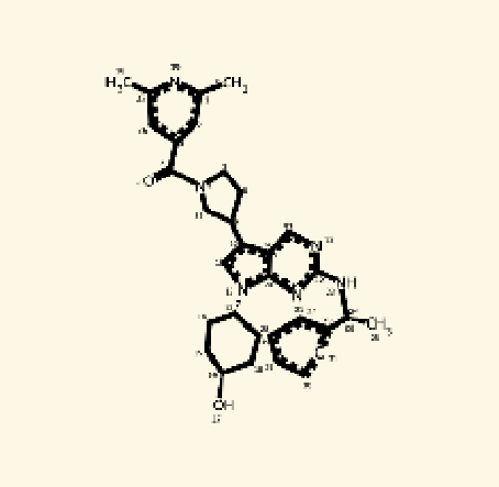 Cc1cc(C(=O)N2CCC(c3cn([C@H]4CC[C@H](O)CC4)c4nc(N[C@@H](C)c5ccccc5)ncc34)C2)cc(C)n1